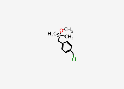 CO[Si](C)(C)Cc1ccc(CCl)cc1